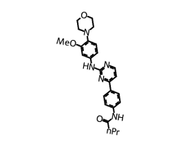 CCCC(=O)Nc1ccc(-c2ccnc(Nc3ccc(N4CCOCC4)c(OC)c3)n2)cc1